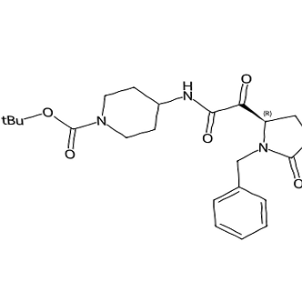 CC(C)(C)OC(=O)N1CCC(NC(=O)C(=O)[C@H]2CCC(=O)N2Cc2ccccc2)CC1